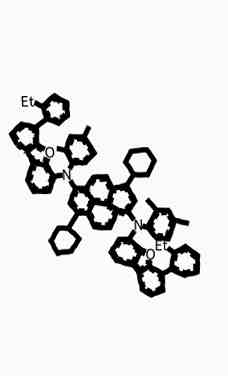 CCc1ccccc1-c1cccc2c1oc1c(N(c3ccc(C)cc3C)c3cc(C4CCCCC4)c4ccc5c(N(c6ccc(C)cc6C)c6cccc7c6oc6c(-c8ccccc8CC)cccc67)cc(C6CCCCC6)c6ccc3c4c65)cccc12